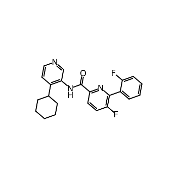 O=C(Nc1cnccc1C1CCCCC1)c1ccc(F)c(-c2ccccc2F)n1